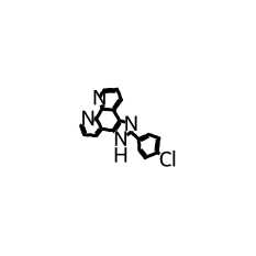 Clc1ccc(-c2nc3c4cccnc4c4ncccc4c3[nH]2)cc1